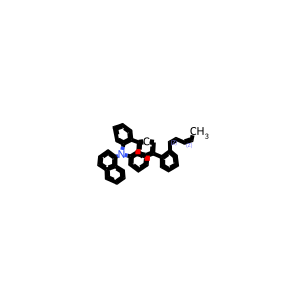 C/C=C\C=C/c1ccccc1-c1ccc(-c2ccccc2N(c2ccccc2)c2cccc3ccccc23)cc1